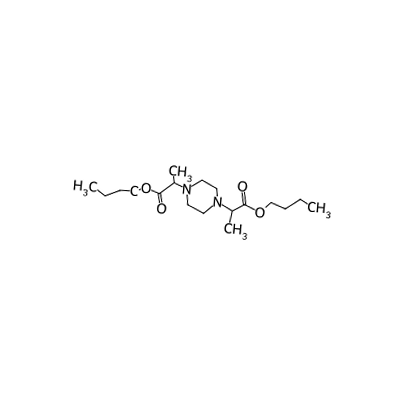 CCCCOC(=O)C(C)N1CCN(C(C)C(=O)OCCCC)CC1